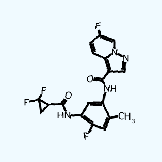 Cc1cc(F)c(NC(=O)C2CC2(F)F)cc1NC(=O)c1cnn2cc(F)ccc12